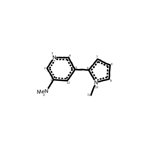 CNc1cncc(-c2cccn2C)c1